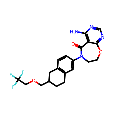 Nc1ncnc2c1C(=O)N(c1ccc3c(c1)CCC(COCC(F)(F)F)C3)CCO2